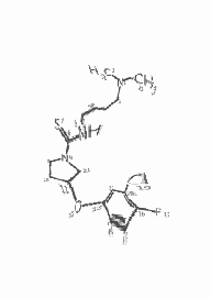 CN(C)CCNC(=S)N1CCC(Oc2ccc(F)c(Cl)c2)C1